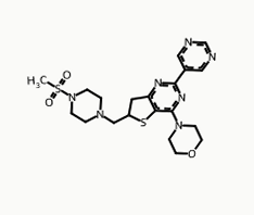 CS(=O)(=O)N1CCN(CC2Cc3nc(-c4cncnc4)nc(N4CCOCC4)c3S2)CC1